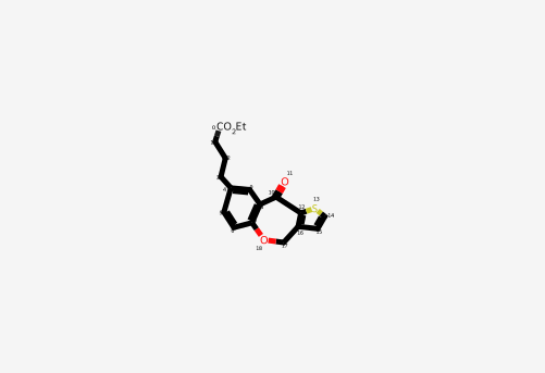 CCOC(=O)CCCc1ccc2c(c1)C(=O)c1sccc1CO2